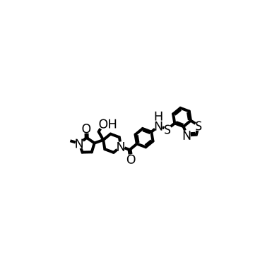 CN1CCC(C2(CO)CCN(C(=O)c3ccc(NSc4cccc5scnc45)cc3)CC2)C1=O